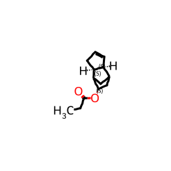 CCC(=O)O[C@H]1CC2CC1[C@H]1CC=C[C@@H]21